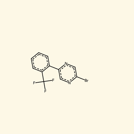 FC(F)(F)c1ccccc1-c1cnc(Br)cn1